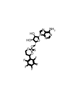 Nc1ncnc2c1ncn2[C@@H]1O[C@H](COP2(=S)OCCC(c3c(F)c(F)c(F)c(F)c3F)O2)[C@@H](O)[C@H]1O